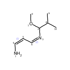 COC(/N=C\C=C/N)C(C)C